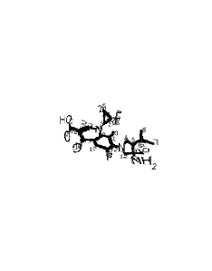 Cc1c(N2CC(C(C)C)C(C)(N)C2)c(F)cc2c(=O)c(C(=O)O)cn([C@@H]3C[C@@H]3F)c12